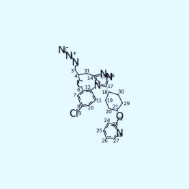 [N-]=[N+]=NCC1Cc2cc(Cl)ccc2-n2c(nnc2[C@H]2CC[C@H](Oc3ccccn3)CC2)C1